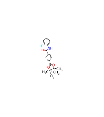 CC1(C)OB(c2ccc(C(=O)Nc3ccccc3F)cc2)OC1(C)C